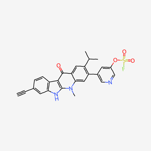 C#Cc1ccc2c(c1)[nH]c1c2c(=O)c2cc(C(C)C)c(-c3cncc(OS(=O)(=O)F)c3)cc2n1C